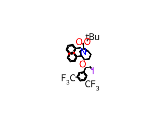 CC(C)(C)OC(=O)C1CC2(c3ccccc3)C(O[C@@H](CI)c3cc(C(F)(F)F)cc(C(F)(F)F)c3)CCC1N2Cc1ccccc1